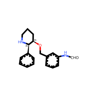 O=CNc1cccc(CO[C@@H]2CCCN[C@@H]2c2ccccc2)c1